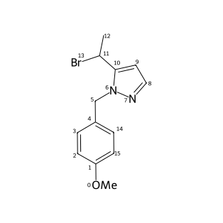 COc1ccc(Cn2nccc2C(C)Br)cc1